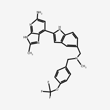 Cc1nc2c(-c3cc4cc(CN(C)Cc5ccc(OC(F)(F)F)cc5)ccc4[nH]3)cc(N)nc2[nH]1